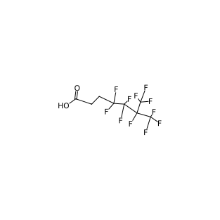 O=C(O)CCC(F)(F)C(F)(F)C(F)(C(F)(F)F)C(F)(F)F